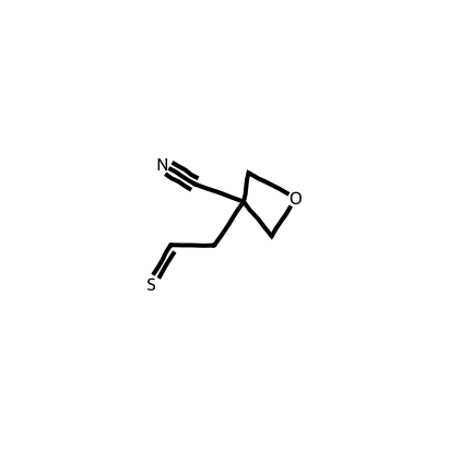 N#CC1(CC=S)COC1